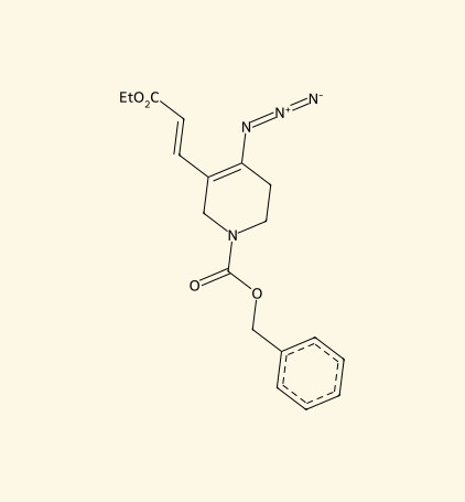 CCOC(=O)C=CC1=C(N=[N+]=[N-])CCN(C(=O)OCc2ccccc2)C1